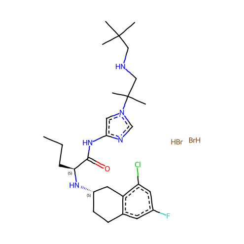 Br.Br.CCC[C@H](N[C@H]1CCc2cc(F)cc(Cl)c2C1)C(=O)Nc1cn(C(C)(C)CNCC(C)(C)C)cn1